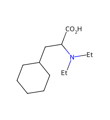 CCN(CC)C(CC1CCCCC1)C(=O)O